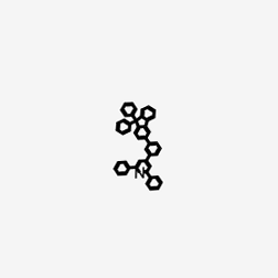 c1ccc(-c2cc(-c3cccc(-c4ccc5c(c4)-c4ccccc4C5(c4ccccc4)c4ccccc4)c3)cc(-c3ccccc3)n2)cc1